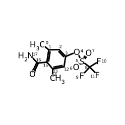 Cc1cc(OS(=O)(=O)C(F)(F)F)cc(C)c1C(N)=O